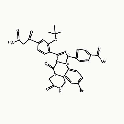 CC(C)(C)Oc1cc(C(=O)CC(N)=O)ccc1C1=N[C@@H](c2ccc(C(=O)O)cc2)[C@@H](c2ccc(Br)cc2)N1C(=O)N1CCNC(=O)C1